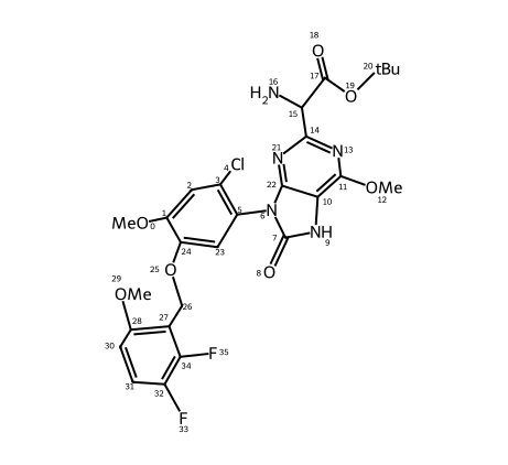 COc1cc(Cl)c(-n2c(=O)[nH]c3c(OC)nc(C(N)C(=O)OC(C)(C)C)nc32)cc1OCc1c(OC)ccc(F)c1F